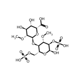 CO[C@@H]1[C@@H](OS(=O)(=O)O)[C@@H](O)O[C@H](COS(=O)(=O)O)[C@H]1O[C@@H]1O[C@@H](C(=O)O)[C@@H](O)[C@H](O)[C@H]1OC